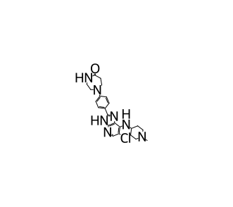 CN1CCC(Nc2c(Cl)cnc3[nH]c(-c4ccc(N5CCNC(=O)CC5)cc4)nc23)CC1